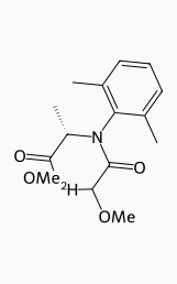 [2H]C(OC)C(=O)N(c1c(C)cccc1C)[C@@H](C)C(=O)OC